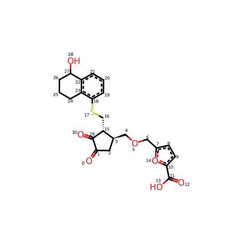 O=C1C[C@H](COCc2ccc(C(=O)O)o2)[C@@H](CSc2cccc3c2CCCC3O)C1=O